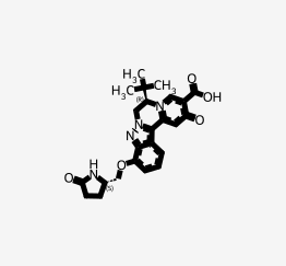 CC(C)(C)[C@@H]1Cn2nc3c(OC[C@@H]4CCC(=O)N4)cccc3c2-c2cc(=O)c(C(=O)O)cn21